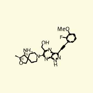 COc1cccc(C#Cc2n[nH]c3nc(N4CCC5(CC4)CO[C@@H](C)[C@H]5N)c(CO)nc23)c1F